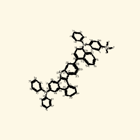 C[Si](C)(C)c1ccc(N(c2ccccc2)c2ccc(-c3ccc4c(c3)sc3c5ccc(N(c6ccccc6)c6ccccc6)cc5c5ccccc5c43)c3ccccc23)cc1